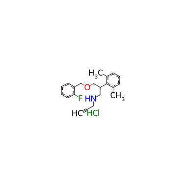 C#CCNCC(COCc1ccccc1F)c1c(C)cccc1C.Cl